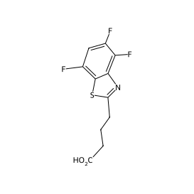 O=C(O)CCCc1nc2c(F)c(F)cc(F)c2s1